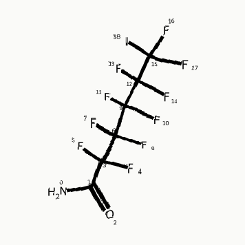 NC(=O)C(F)(F)C(F)(F)C(F)(F)C(F)(F)C(F)(F)I